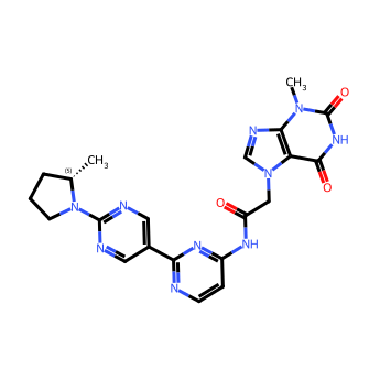 C[C@H]1CCCN1c1ncc(-c2nccc(NC(=O)Cn3cnc4c3c(=O)[nH]c(=O)n4C)n2)cn1